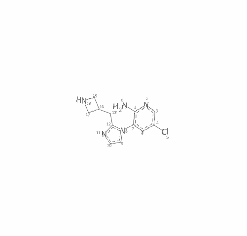 Nc1ncc(Cl)cc1-n1ccnc1CC1CNC1